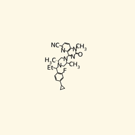 CCC(c1ccc(C2CC2)cc1F)N1C[C@H](C)N(c2nc(=O)n(C)c3ccc(C#N)nc23)C[C@H]1C